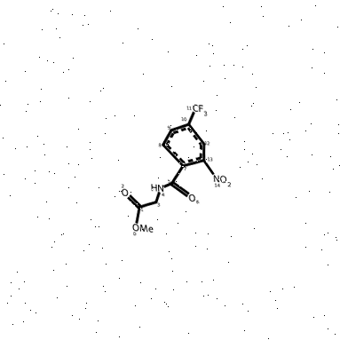 COC(=O)CNC(=O)c1ccc(C(F)(F)F)cc1[N+](=O)[O-]